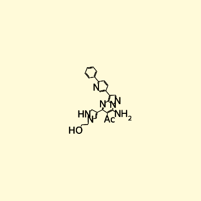 CC(=O)c1c(C2=CN(CCO)NC2)nc2c(-c3ccc(-c4ccccc4)nc3)cnn2c1N